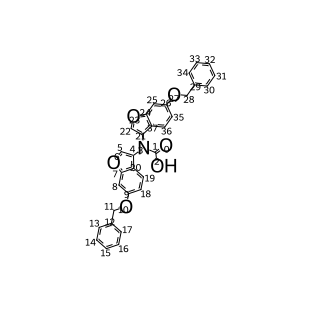 O=C(O)N(c1coc2cc(OCc3ccccc3)ccc12)c1coc2cc(OCc3ccccc3)ccc12